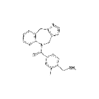 Cc1cc(C(=O)N2Cc3ccnn3Cc3ccccc32)ccc1CN